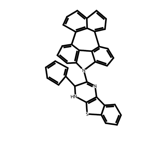 c1ccc(C2Nc3sc4ccccc4c3N=C2n2c3cccc4c3c3c(cccc32)-c2cccc3cccc-4c23)cc1